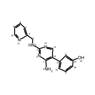 Nc1nc(NCc2ccccn2)ncc1-c1cccc(O)c1